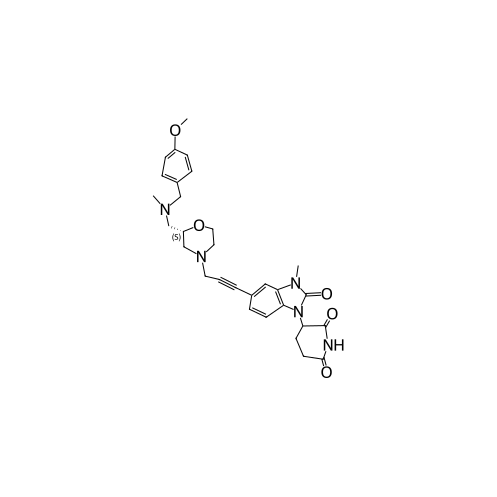 COc1ccc(CN(C)C[C@H]2CN(CC#Cc3ccc4c(c3)n(C)c(=O)n4C3CCC(=O)NC3=O)CCO2)cc1